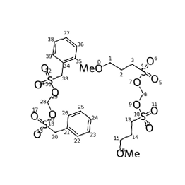 COCCCS(=O)(=O)OCOS(=O)(=O)CCCOC.O=S(=O)(Cc1ccccc1)OCOS(=O)(=O)Cc1ccccc1